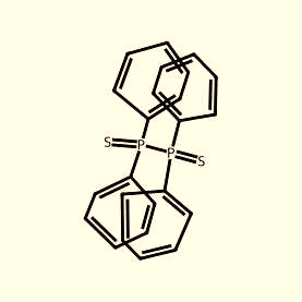 S=P(c1ccccc1)(c1ccccc1)P(=S)(c1ccccc1)c1ccccc1